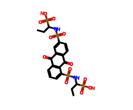 CCC(NS(=O)(=O)c1ccc2c(c1)C(=O)c1cccc(S(=O)(=O)NC(CC)S(=O)(=O)O)c1C2=O)S(=O)(=O)O